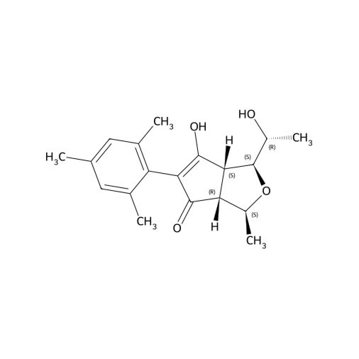 Cc1cc(C)c(C2=C(O)[C@@H]3[C@@H]([C@@H](C)O)O[C@@H](C)[C@@H]3C2=O)c(C)c1